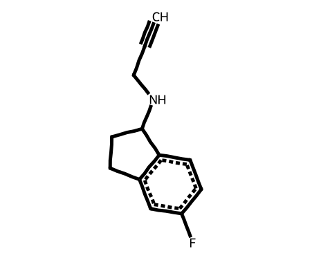 C#CCNC1CCc2cc(F)ccc21